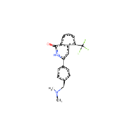 CN(C)Cc1ccc(-c2cc3c(C(F)(F)F)cccc3c(=O)[nH]2)cc1